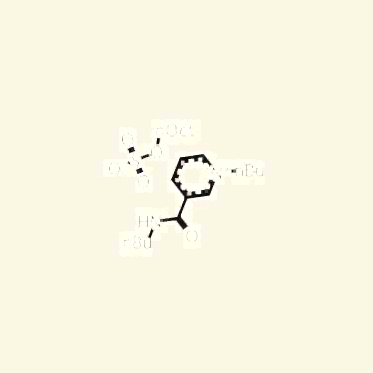 CCCCCCCCOS(=O)(=O)[O-].CCCCNC(=O)c1ccc[n+](CCCC)c1